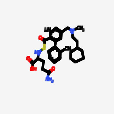 Cc1ccccc1-c1cc(CN(C)CCC2CCCCC2)ccc1C(=O)SNC(CCC(N)=O)C(=O)O.[LiH]